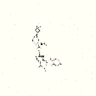 B[C@]1(C2CN(c3ncc(C(C)CC)c(N[C@H](C)c4ccc(C)cc4C)n3)C2)CCCN(C2CC(C)(C)C2)C1